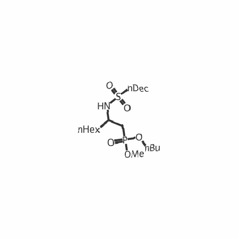 CCCCCCCCCCS(=O)(=O)NC(CCCCCC)CP(=O)(OC)OCCCC